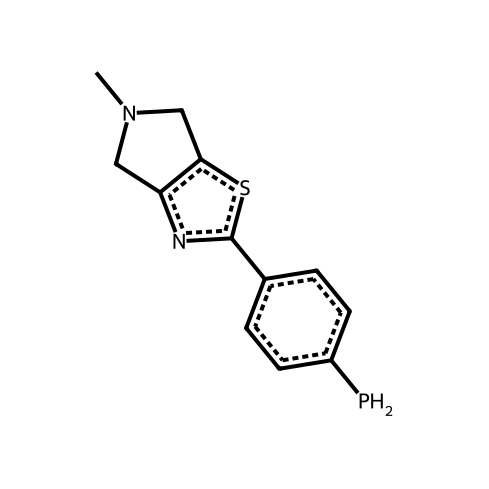 CN1Cc2nc(-c3ccc(P)cc3)sc2C1